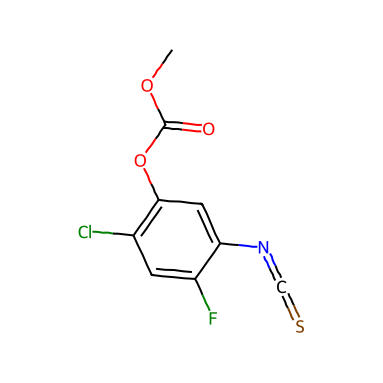 COC(=O)Oc1cc(N=C=S)c(F)cc1Cl